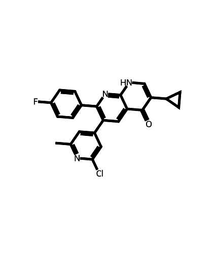 Cc1cc(-c2cc3c(=O)c(C4CC4)c[nH]c3nc2-c2ccc(F)cc2)cc(Cl)n1